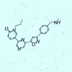 CCCn1cc(-c2cncc(-c3cc(-c4ccc(CNC)cc4)no3)n2)ccc1=O